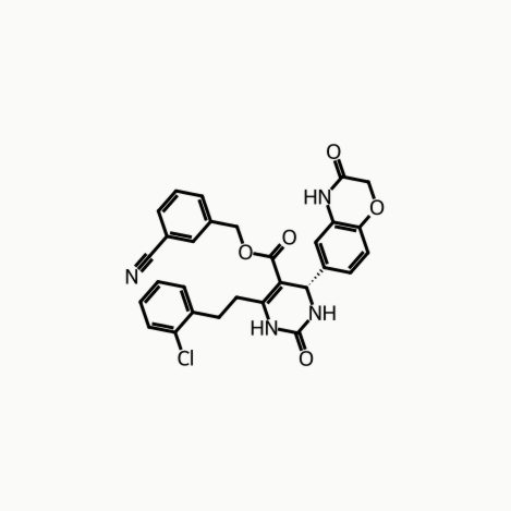 N#Cc1cccc(COC(=O)C2=C(CCc3ccccc3Cl)NC(=O)N[C@H]2c2ccc3c(c2)NC(=O)CO3)c1